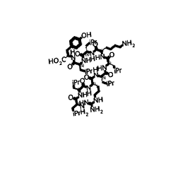 CC(C)C[C@H](NC(=O)[C@H](CC(C)C)NC(=O)[C@H](CCCCN)NC(=O)[C@H](CC(C)C)NC(=O)[C@H](CC(C)C)NC(=O)[C@H](CCCNC(=N)N)NC(=O)[C@H](CC(C)C)NC(=O)[C@@H](N)CC(C)C)C(=O)N[C@@H](Cc1ccc(O)cc1)C(=O)O